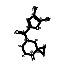 O=C(c1cc(Br)c(Br)o1)N1CCNC2(CC2)C1